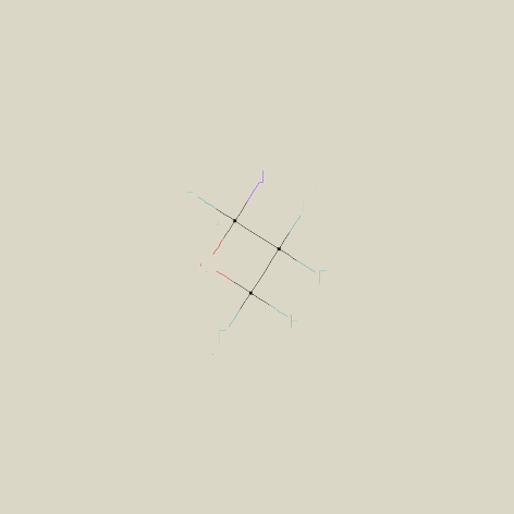 FC1(F)OC(F)(I)C1(F)F